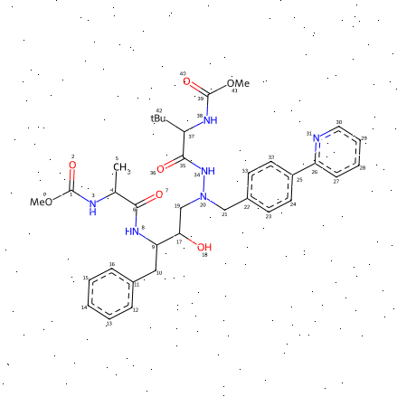 COC(=O)NC(C)C(=O)NC(Cc1ccccc1)C(O)CN(Cc1ccc(-c2ccccn2)cc1)NC(=O)C(NC(=O)OC)C(C)(C)C